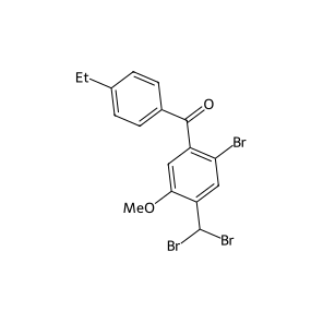 CCc1ccc(C(=O)c2cc(OC)c(C(Br)Br)cc2Br)cc1